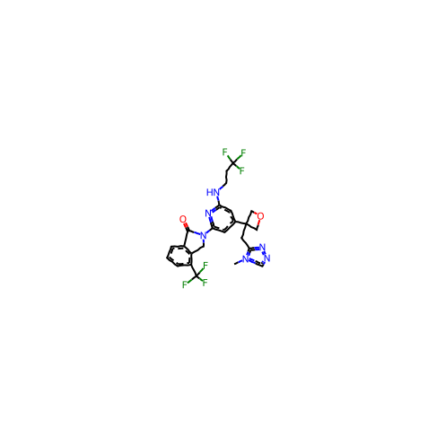 Cn1cnnc1CC1(c2cc(NCCC(F)(F)F)nc(N3Cc4c(cccc4C(F)(F)F)C3=O)c2)COC1